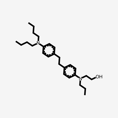 CCCCN(CCCC)c1ccc(CCc2ccc(N(CCC)CCO)cc2)cc1